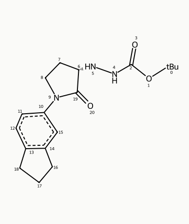 CC(C)(C)OC(=O)NN[C@H]1CCN(c2ccc3c(c2)CCC3)C1=O